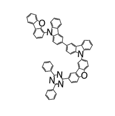 c1ccc(-c2nc(-c3ccccc3)nc(-c3ccc4oc5ccc(-n6c7ccccc7c7cc(-c8ccc9c(c8)c8ccccc8n9-c8cccc9c8oc8ccccc89)ccc76)cc5c4c3)n2)cc1